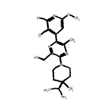 COc1cc(-c2nc(CO)c(N3CCC(C)(C(C)N)CC3)nc2C)c(Cl)c(Cl)n1